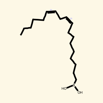 CCCCC/C=C\C/C=C\CCCCCCCCB(O)O